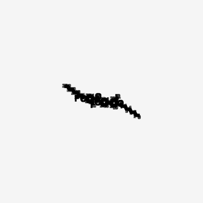 CCCCCCCCOc1ccc(-c2ccc(OC(=O)c3ccc(OC[C@@H](F)CCCCCC)cc3F)cc2)cc1F